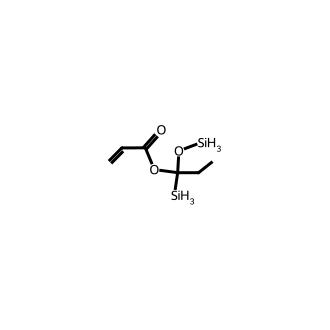 C=CC(=O)OC([SiH3])(CC)O[SiH3]